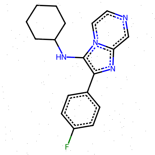 Fc1ccc(-c2nc3cnccn3c2NC2CCCCC2)cc1